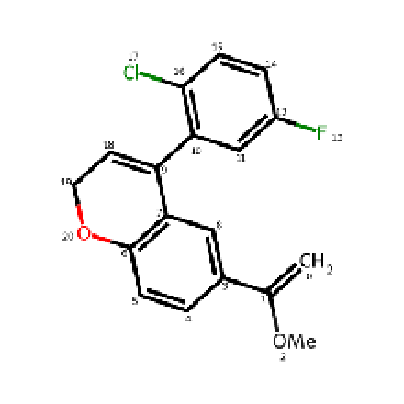 C=C(OC)c1ccc2c(c1)C(c1cc(F)ccc1Cl)=CCO2